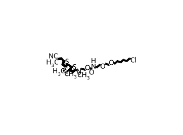 C/C(C#N)=C\c1cc2c(s1)-c1sc(N(C)CCOC(=O)NCCOCCOCCCCCCCl)cc1S2(C)C